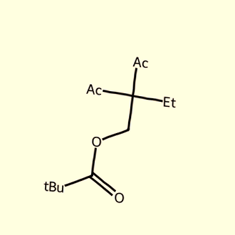 CCC(COC(=O)C(C)(C)C)(C(C)=O)C(C)=O